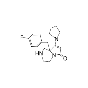 O=C1C=C(N2CCCC2)C2(Cc3ccc(F)cc3)CNCCN12